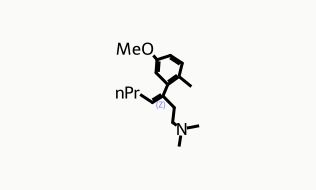 CCC/C=C(/CCN(C)C)c1cc(OC)ccc1C